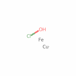 OCl.[Cu].[Fe]